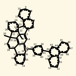 CC12Oc3c(ccc4ccccc34)C1=CC1(C)C3=C2C(C)(c2ccccc2)C=CC3(C)c2ccccc2N1c1ccc(-c2cc3ccccc3c3ccccc23)cc1